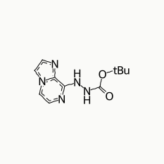 CC(C)(C)OC(=O)NNc1nccn2ccnc12